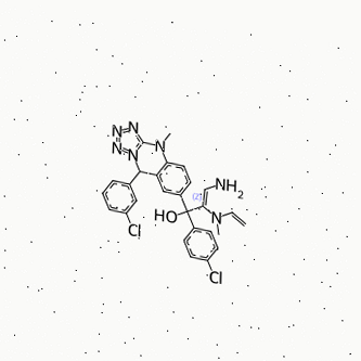 C=CN(C)/C(=C\N)C(O)(c1ccc(Cl)cc1)c1ccc2c(c1)C(c1cccc(Cl)c1)n1nnnc1N2C